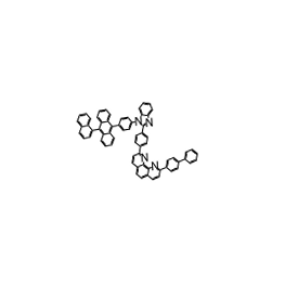 c1ccc(-c2ccc(-c3ccc4ccc5ccc(-c6ccc(-c7nc8ccccc8n7-c7ccc(-c8c9ccccc9c(-c9cccc%10ccccc9%10)c9ccccc89)cc7)cc6)nc5c4n3)cc2)cc1